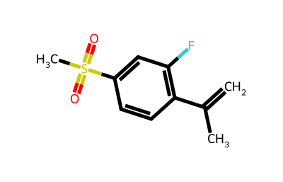 C=C(C)c1ccc(S(C)(=O)=O)cc1F